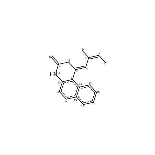 C=C1C/C(=C\C(C)=C/C)c2c(ccc3ccccc23)N1